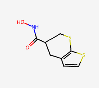 O=C(NO)C1CSc2sccc2C1